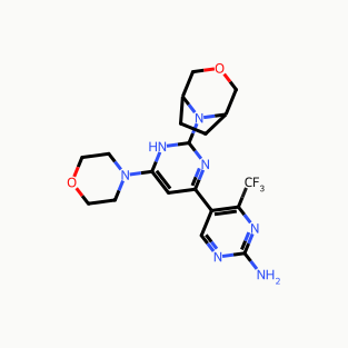 Nc1ncc(C2=NC(N3C4CCC3COC4)NC(N3CCOCC3)=C2)c(C(F)(F)F)n1